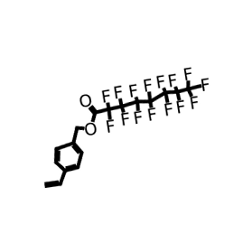 C=Cc1ccc(COC(=O)C(F)(F)C(F)(F)C(F)(F)C(F)(F)C(F)(F)C(F)(F)C(F)(F)F)cc1